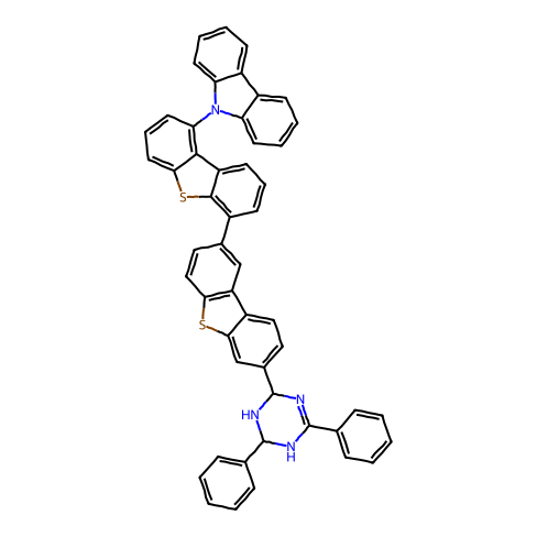 c1ccc(C2=NC(c3ccc4c(c3)sc3ccc(-c5cccc6c5sc5cccc(-n7c8ccccc8c8ccccc87)c56)cc34)NC(c3ccccc3)N2)cc1